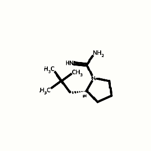 CC(C)(C)C[C@H]1CCCN1C(=N)N